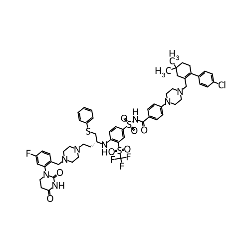 CC1(C)CCC(c2ccc(Cl)cc2)=C(CN2CCN(c3ccc(C(=O)NS(=O)(=O)c4ccc(N[C@H](CCN5CCN(Cc6ccc(F)cc6N6CCC(=O)NC6=O)CC5)CSc5ccccc5)c(S(=O)(=O)C(F)(F)F)c4)cc3)CC2)C1